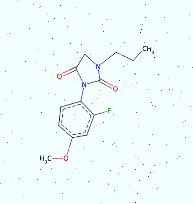 CCCN1CC(=O)N(c2ccc(OC)cc2F)C1=O